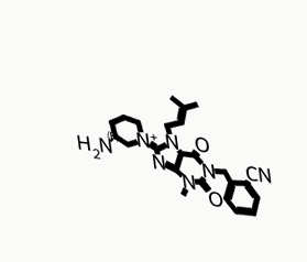 CC(C)=CCN1C(=[N+]2CCC[C@@H](N)C2)N=C2C1C(=O)N(Cc1ccccc1C#N)C(=O)N2C